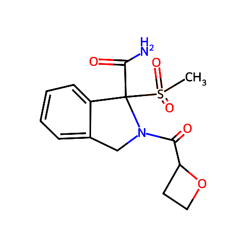 CS(=O)(=O)C1(C(N)=O)c2ccccc2CN1C(=O)C1CCO1